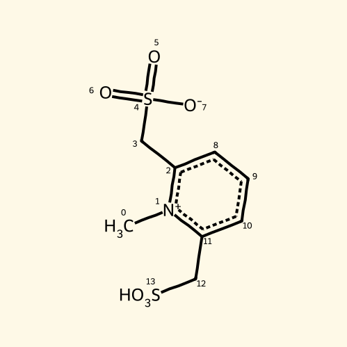 C[n+]1c(CS(=O)(=O)[O-])cccc1CS(=O)(=O)O